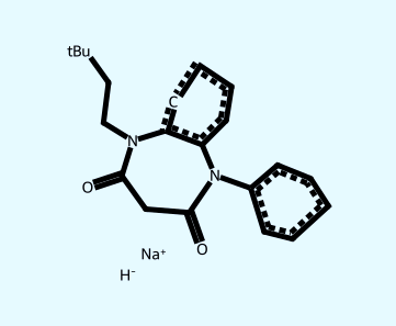 CC(C)(C)CCN1C(=O)CC(=O)N(c2ccccc2)c2ccccc21.[H-].[Na+]